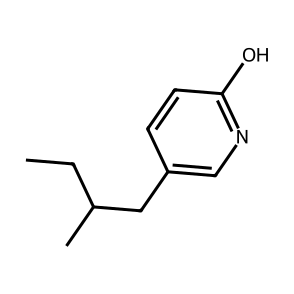 CCC(C)Cc1ccc(O)nc1